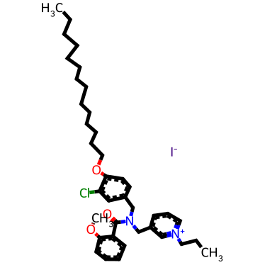 CCCCCCCCCCCCCCOc1ccc(CN(Cc2ccc[n+](CCC)c2)C(=O)c2ccccc2OC)cc1Cl.[I-]